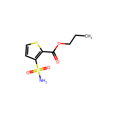 CCCOC(=O)c1sccc1S(N)(=O)=O